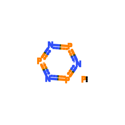 [P].n1pnpnp1